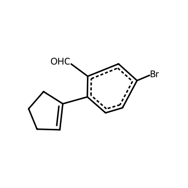 O=Cc1cc(Br)ccc1C1=CCCC1